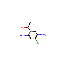 CC(O)c1cc(N)c(Cl)cc1N